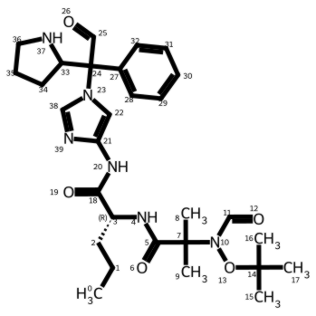 CCC[C@@H](NC(=O)C(C)(C)N(C=O)OC(C)(C)C)C(=O)Nc1cn(C(C=O)(c2ccccc2)C2CCCN2)cn1